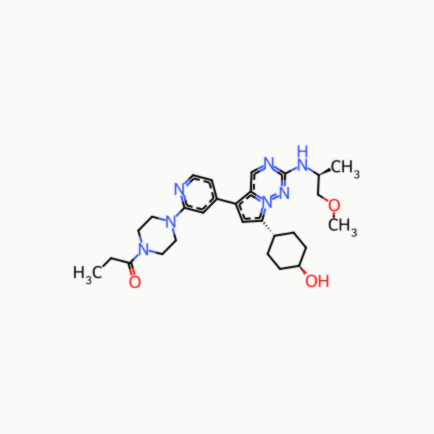 CCC(=O)N1CCN(c2cc(-c3cc([C@H]4CC[C@H](O)CC4)n4nc(N[C@@H](C)COC)ncc34)ccn2)CC1